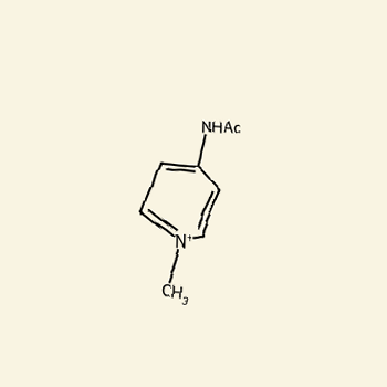 CC(=O)Nc1cc[n+](C)cc1